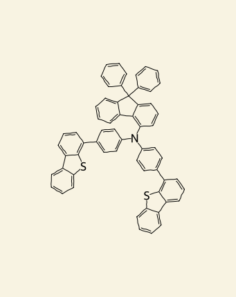 c1ccc(C2(c3ccccc3)c3ccccc3-c3c(N(c4ccc(-c5cccc6c5sc5ccccc56)cc4)c4ccc(-c5cccc6c5sc5ccccc56)cc4)cccc32)cc1